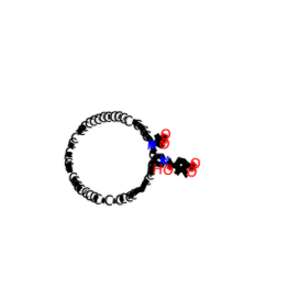 CC1=C(N2CCCCCCCCCCCCCCCCCCCCCCCCCCCCCCCCCCCCCCCCCCCCCCCCC3(CCN(CC(O)c4ccc5c(c4C)COC5=O)CC3)CC2)COC1=O